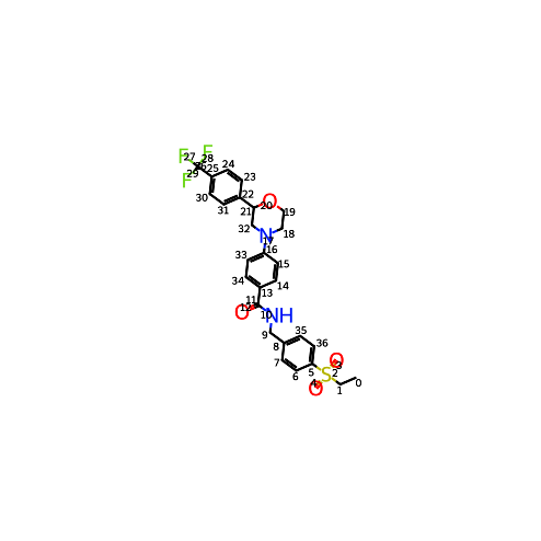 CCS(=O)(=O)c1ccc(CNC(=O)c2ccc(N3CCOC(c4ccc(C(F)(F)F)cc4)C3)cc2)cc1